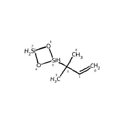 C=CC(C)(C)[SiH]1O[SiH2]O1